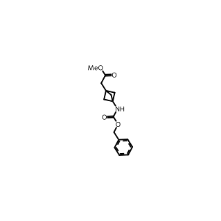 COC(=O)CC12CC(NC(=O)OCc3ccccc3)(C1)C2